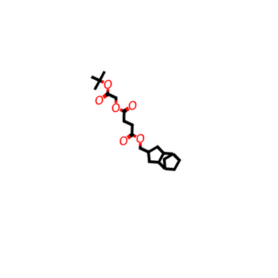 CC(C)(C)OC(=O)COC(=O)CCC(=O)OCC1CC2C3CCC(C3)C2C1